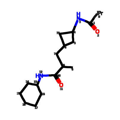 CC(C)C(=O)NC1CC(CC(C)C(=O)NC2CCCCC2)C1